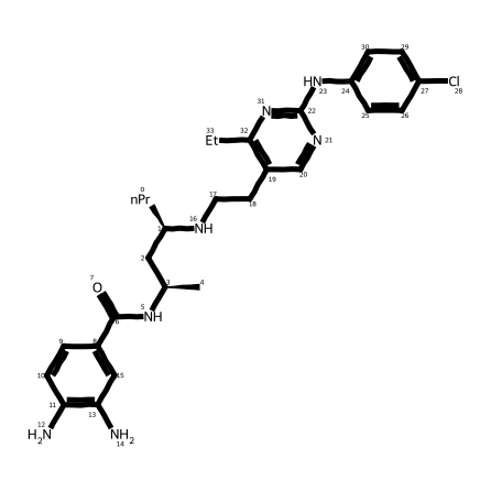 CCC[C@H](C[C@@H](C)NC(=O)c1ccc(N)c(N)c1)NCCc1cnc(Nc2ccc(Cl)cc2)nc1CC